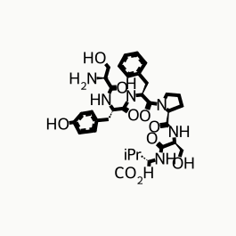 CC(C)[C@H](NC(=O)[C@H](CO)NC(=O)[C@@H]1CCCN1C(=O)[C@H](Cc1ccccc1)NC(=O)[C@H](Cc1ccc(O)cc1)NC(=O)[C@@H](N)CO)C(=O)O